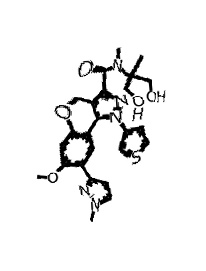 COc1cc2c(cc1-c1ccn(C)n1)-c1c(c(C(=O)N(C)C(C)(CO)CO)nn1-c1ccsc1)CO2